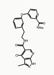 CNC(=O)c1cc(Oc2cccc(CCNC(=O)c3cnc4[nH]nc(C)c4c3Cl)c2)ccn1